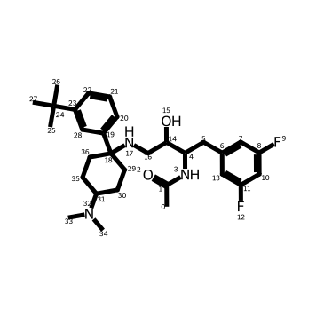 CC(=O)NC(Cc1cc(F)cc(F)c1)C(O)CNC1(c2cccc(C(C)(C)C)c2)CCC(N(C)C)CC1